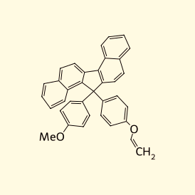 C=COc1ccc(C2(c3ccc(OC)cc3)c3ccc4ccccc4c3-c3ccc4ccccc4c32)cc1